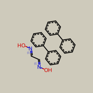 O/N=C/C=N/O.c1ccc(-c2ccccc2)cc1.c1ccc(-c2ccccc2)cc1